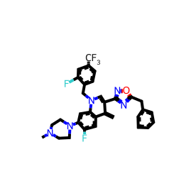 C=C1C(c2noc(Cc3ccccc3)n2)=CN(Cc2ccc(C(F)(F)F)cc2F)c2cc(N3CCN(C)CC3)c(F)cc21